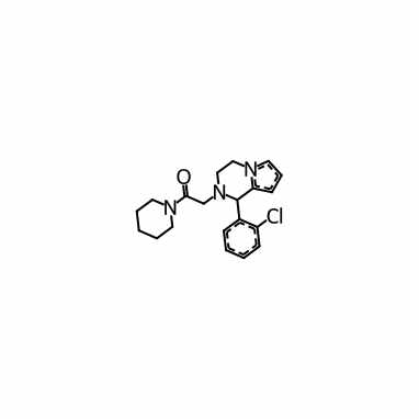 O=C(CN1CCn2cccc2C1c1ccccc1Cl)N1CCCCC1